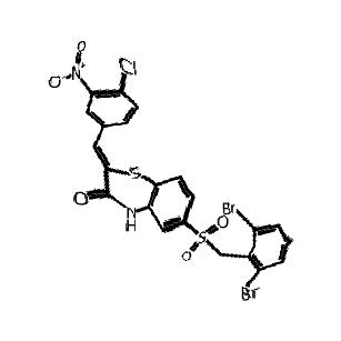 O=C1Nc2cc(S(=O)(=O)Cc3c(Br)cccc3Br)ccc2S/C1=C\c1ccc(Cl)c([N+](=O)[O-])c1